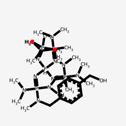 CN(C)P(C)(=N[PH](N=P(C)(C)C)(N=P(C)(N(C)C)N(C)C)N=P(N(C)C)(N(C)C)N(C)Cc1ccc(CO)cc1)N(C)C